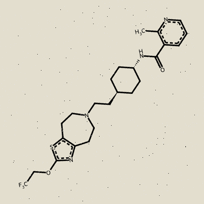 Cc1ncccc1C(=O)N[C@H]1CC[C@H](CCN2CCc3nc(OCC(F)(F)F)sc3CC2)CC1